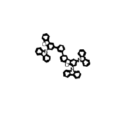 c1cc(-c2ccc3oc4c(-n5c6ccccc6c6ccccc65)cc(-n5c6ccccc6c6ccccc65)cc4c3c2)cc(-c2cc(-n3c4ccccc4c4ccccc43)c3oc4ccccc4c3c2)c1